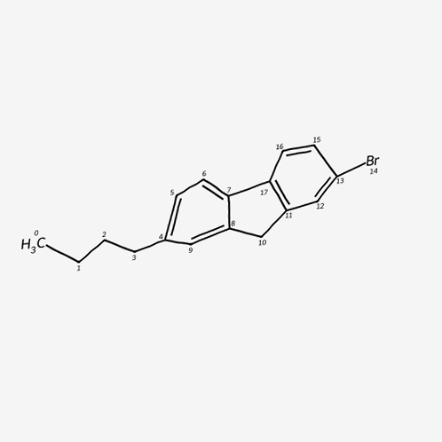 CCCCc1ccc2c(c1)Cc1cc(Br)ccc1-2